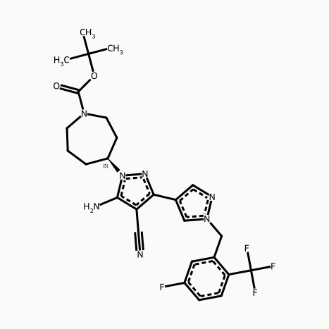 CC(C)(C)OC(=O)N1CCC[C@H](n2nc(-c3cnn(Cc4cc(F)ccc4C(F)(F)F)c3)c(C#N)c2N)CC1